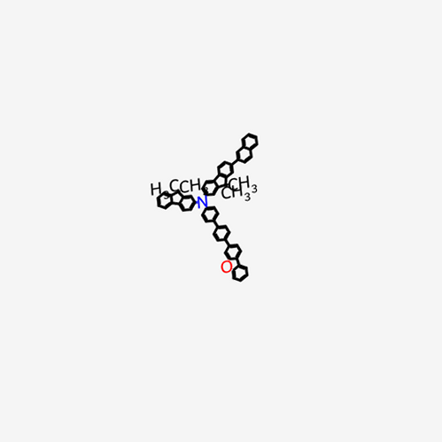 CC1(C)c2ccccc2-c2ccc(N(c3ccc(-c4ccc(-c5ccc6c(c5)oc5ccccc56)cc4)cc3)c3ccc4c(c3)C(C)(C)c3cc(-c5ccc6ccccc6c5)ccc3-4)cc21